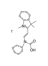 C[N+]1=C(/C=C/N(C(=O)O)c2ccccc2)C(C)(C)c2ccccc21.[I-]